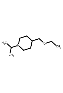 CCOCC1CCN(C(C)C)CC1